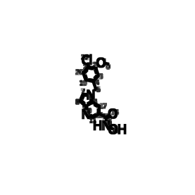 COc1cc(Cn2ccc3ncc(C(=O)NO)cc32)ccc1Cl